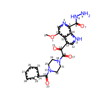 COc1cnc(C(=O)NN)c2[nH]cc(C(=O)C(=O)N3CCN(C(=O)c4ccccc4)CC3)c12